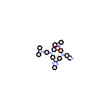 c1ccc2nc(-c3ccc(N(c4ccc(-n5c6ccccc6c6ccccc65)cc4)c4ccc5cnccc5c4)cc3)c(-c3ccc(N(c4ccc(-n5c6ccccc6c6ccccc65)cc4)c4ccc5cnccc5c4)cc3)nc2c1